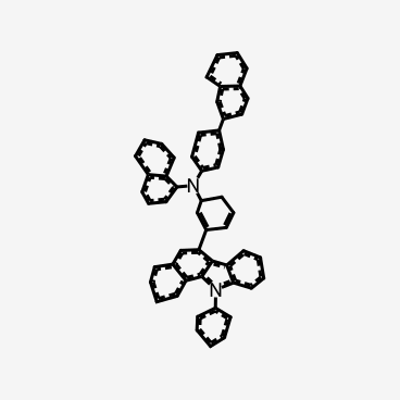 C1=CC(c2cc3ccccc3c3c2c2ccccc2n3-c2ccccc2)=CC(N(c2ccc(-c3ccc4ccccc4c3)cc2)c2cccc3ccccc23)C1